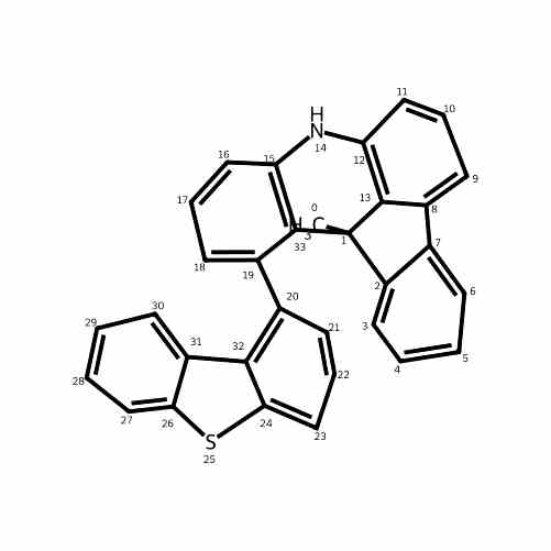 CC12c3ccccc3-c3cccc(c31)Nc1cccc(-c3cccc4sc5ccccc5c34)c12